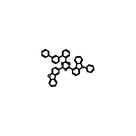 c1ccc(-c2cccc(-c3ccccc3-c3nc(-c4ccc5oc6ccccc6c5c4)nc(-c4cccc5c4c4ccccc4n5-c4ccccc4)n3)c2)cc1